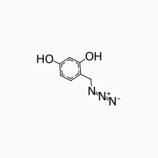 [N-]=[N+]=NCc1ccc(O)cc1O